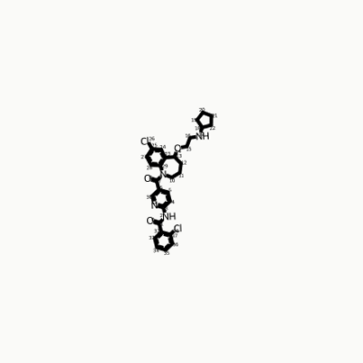 O=C(Nc1ccc(C(=O)N2CCCC(OCCNC3CCCC3)c3cc(Cl)ccc32)cn1)c1ccccc1Cl